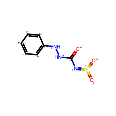 O=C(N=S(=O)=O)NNc1ccccc1